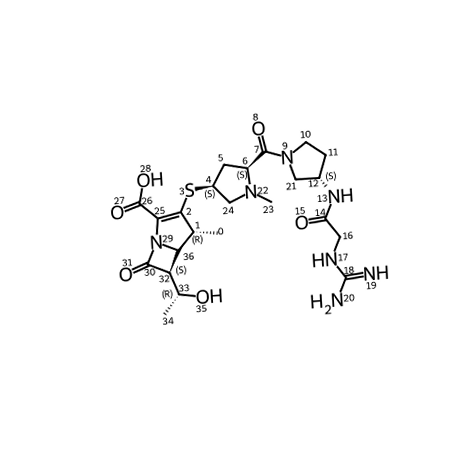 C[C@H]1C(S[C@H]2C[C@@H](C(=O)N3CC[C@H](NC(=O)CNC(=N)N)C3)N(C)C2)=C(C(=O)O)N2C(=O)[C@H]([C@@H](C)O)C12